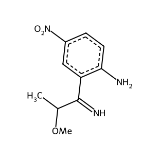 COC(C)C(=N)c1cc([N+](=O)[O-])ccc1N